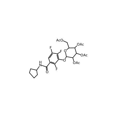 CC(=O)OCC1OC(Oc2c(F)c(F)cc(C(=O)NC3CCCC3)c2F)C(OC(C)=O)C(OC(C)=O)C1OC(C)=O